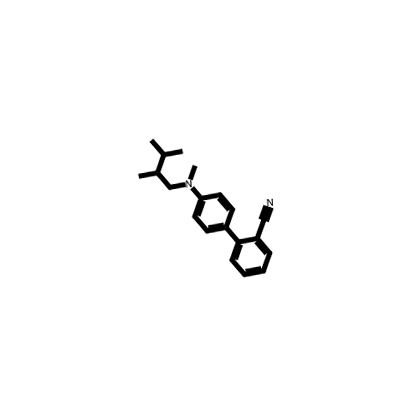 CC(C)C(C)CN(C)c1ccc(-c2ccccc2C#N)cc1